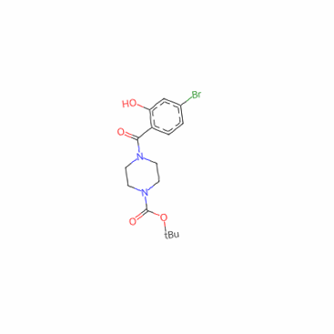 CC(C)(C)OC(=O)N1CCN(C(=O)c2ccc(Br)cc2O)CC1